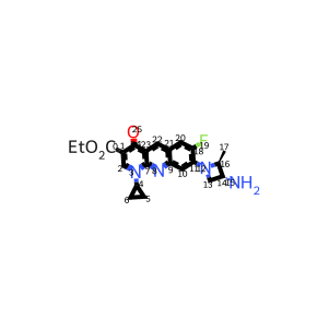 CCOC(=O)c1cn(C2CC2)c2nc3cc(N4C[C@@H](N)[C@@H]4C)c(F)cc3cc2c1=O